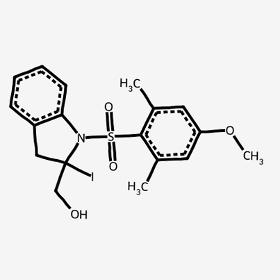 COc1cc(C)c(S(=O)(=O)N2c3ccccc3CC2(I)CO)c(C)c1